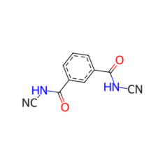 N#CNC(=O)c1cccc(C(=O)NC#N)c1